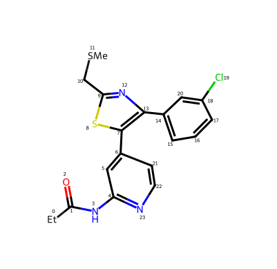 CCC(=O)Nc1cc(-c2sc(CSC)nc2-c2cccc(Cl)c2)ccn1